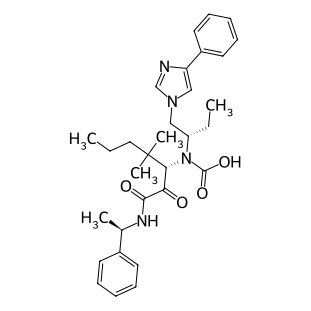 CCCC(C)(C)[C@@H](C(=O)C(=O)N[C@H](C)c1ccccc1)N(C(=O)O)[C@@H](CC)Cn1cnc(-c2ccccc2)c1